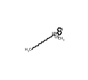 CCCCCCCC/C=C/CCCCCCCC(=O)Nc1c(SC)ccc2ncccc12